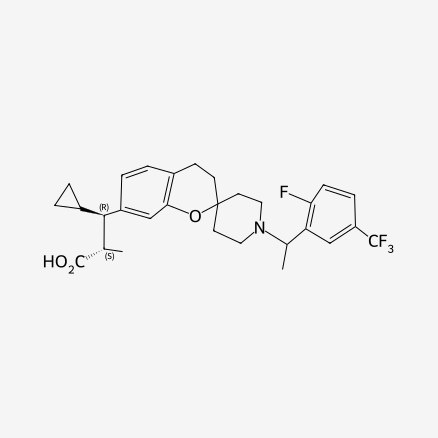 CC(c1cc(C(F)(F)F)ccc1F)N1CCC2(CCc3ccc([C@H](C4CC4)[C@H](C)C(=O)O)cc3O2)CC1